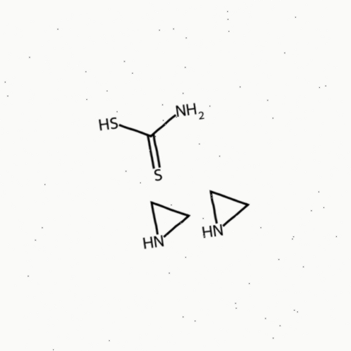 C1CN1.C1CN1.NC(=S)S